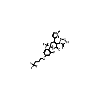 O=C1N[C@@](c2ccc(OCCCC(F)(F)F)cc2F)(C(F)(F)F)CC(c2ccn(I)n2)=C1n1nn[nH]c1=O